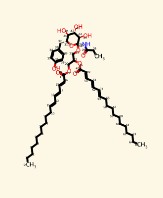 CCCCCCCCCCCC=CC=CC=CC(=O)OCC(CO[C@@]1(NC(=O)CC)O[C@H](Cc2ccc(O)cc2)[C@@H](O)[C@H](O)[C@H]1O)OC(=O)C=CC=CC=CCCCCCCCCCCC